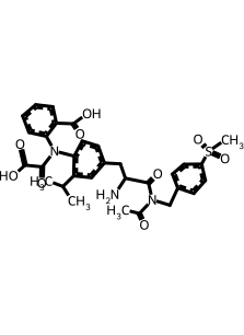 CC(=O)N(Cc1ccc(S(C)(=O)=O)cc1)C(=O)C(N)Cc1ccc(N(C(=O)C(=O)O)c2ccccc2C(=O)O)c(C(C)C)c1